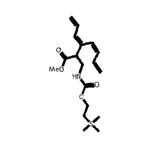 C=C/C=C\C(=C/C=C)C(CNC(=O)OCCS(C)(C)C)C(=O)OC